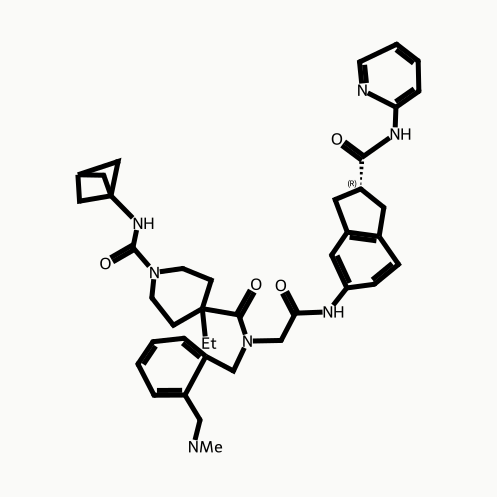 CCC1(C(=O)N(CC(=O)Nc2ccc3c(c2)C[C@H](C(=O)Nc2ccccn2)C3)Cc2ccccc2CNC)CCN(C(=O)NC23CC(C2)C3)CC1